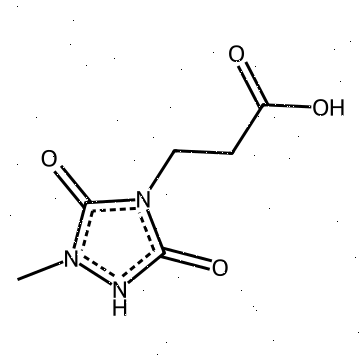 Cn1[nH]c(=O)n(CCC(=O)O)c1=O